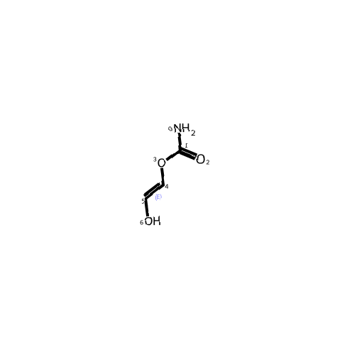 NC(=O)O/C=C/O